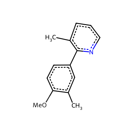 COc1ccc(-c2ncccc2C)cc1C